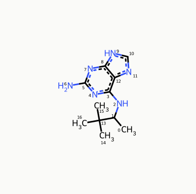 CC(Nc1nc(N)nc2[nH]cnc12)C(C)(C)C